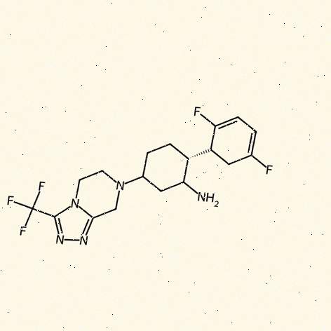 NC1CC(N2CCn3c(nnc3C(F)(F)F)C2)CC[C@@H]1C1CC(F)=CC=C1F